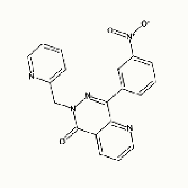 O=c1c2cccnc2c(-c2cccc([N+](=O)[O-])c2)nn1Cc1ccccn1